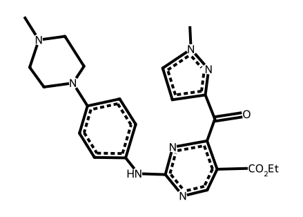 CCOC(=O)c1cnc(Nc2ccc(N3CCN(C)CC3)cc2)nc1C(=O)c1ccn(C)n1